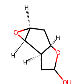 OC1C[C@H]2[C@H]3O[C@H]3C[C@H]2O1